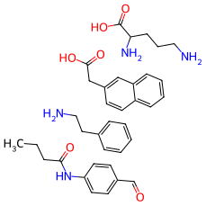 CCCC(=O)Nc1ccc(C=O)cc1.NCCCC(N)C(=O)O.NCCc1ccccc1.O=C(O)Cc1ccc2ccccc2c1